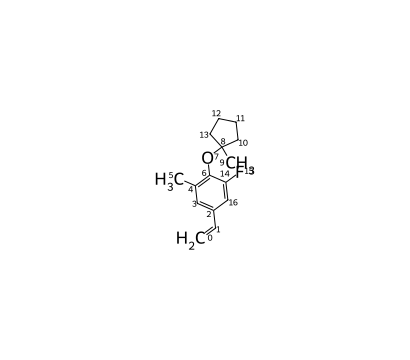 C=Cc1cc(C)c(OC2(C)CCCC2)c(F)c1